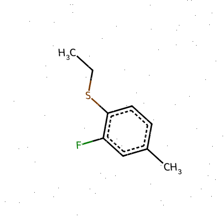 CCSc1ccc(C)cc1F